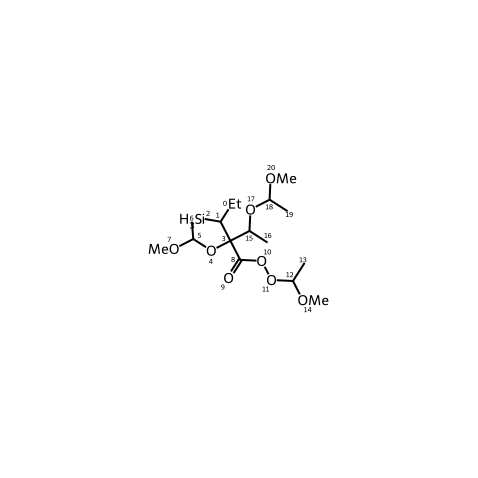 CCC([SiH3])C(OC(C)OC)(C(=O)OOC(C)OC)C(C)OC(C)OC